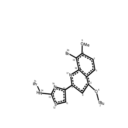 COc1ccc2c(OC(C)(C)C)cc(-c3csc(NC(C)C)n3)nc2c1Br